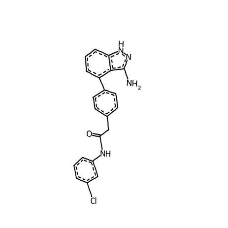 Nc1n[nH]c2cccc(-c3ccc(CC(=O)Nc4cccc(Cl)c4)cc3)c12